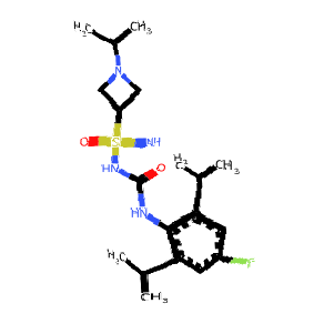 CC(C)c1cc(F)cc(C(C)C)c1NC(=O)NS(=N)(=O)C1CN(C(C)C)C1